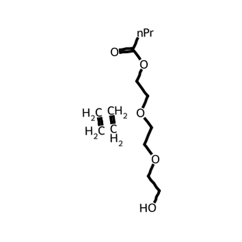 C=C.C=C.CCCC(=O)OCCOCCOCCO